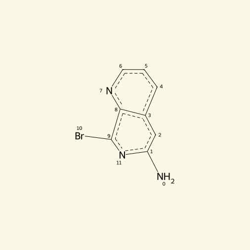 Nc1cc2cccnc2c(Br)n1